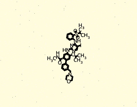 CNC(=O)c1cc(Nc2ncc(I)c(Nc3ccccc3S(=O)(=O)C(C)C)n2)c(OC(C)C)cc1-c1cccc(CN2CCOCC2)c1